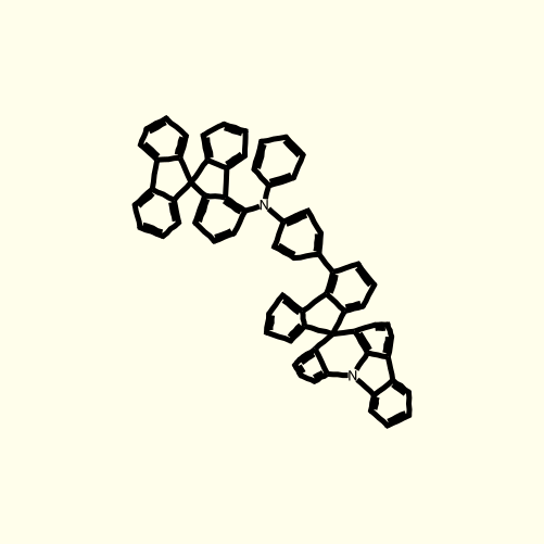 c1ccc(N(c2ccc(-c3cccc4c3-c3ccccc3C43c4ccccc4-n4c5ccccc5c5cccc3c54)cc2)c2cccc3c2-c2ccccc2C32c3ccccc3-c3ccccc32)cc1